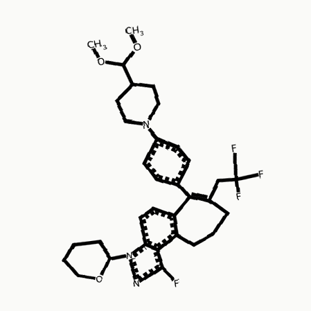 COC(OC)C1CCN(c2ccc(C3=C(CC(F)(F)F)CCCc4c3ccc3c4c(F)nn3C3CCCCO3)cc2)CC1